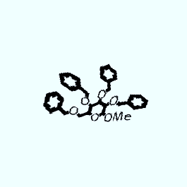 COC1OC(COCc2ccccc2)C(OCc2ccccc2)C(OCc2ccccc2)C1OCc1ccccc1